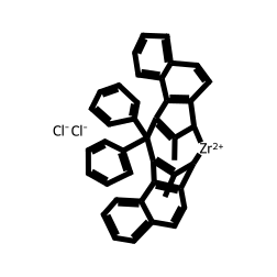 CC1=C2c3c(ccc4ccccc34)[CH]1[Zr+2][CH]1C(C)=C(c3c1ccc1ccccc31)C2(c1ccccc1)c1ccccc1.[Cl-].[Cl-]